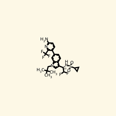 CC(C)(C)Cn1cc([C@H](NS(=O)(=O)C2CC2)C(F)F)c2ccc(-c3ccc(N)nc3C(F)(F)F)cc21